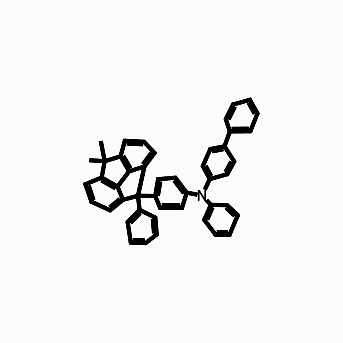 CC1(C)c2cccc3c2-c2c1cccc2C3(c1ccccc1)c1ccc(N(c2ccccc2)c2ccc(-c3ccccc3)cc2)cc1